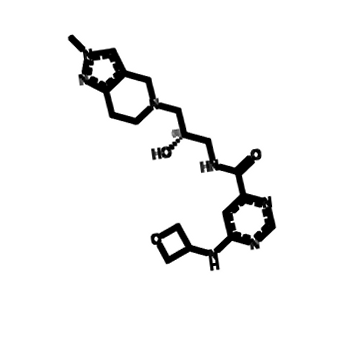 Cn1cc2c(n1)CCN(C[C@@H](O)CNC(=O)c1cc(NC3COC3)ncn1)C2